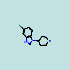 Fc1ccc2c(c1)N[CH]N2C1CCNCC1